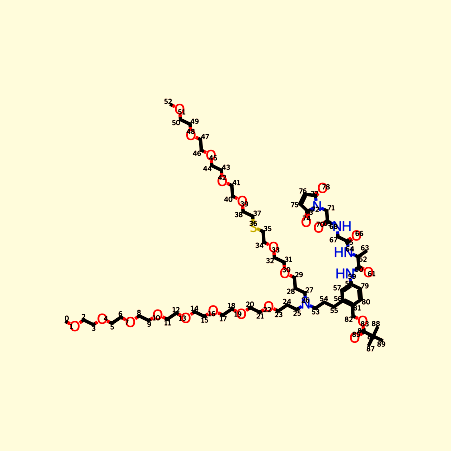 COCCOCCOCCOCCOCCOCCOCCOCCCN(CCCOCCOCCSCCOCCOCCOCCOCCOC)CCCc1cc(NC(=O)C(C)NC(=O)CNC(=O)CN2C(=O)C=CC2=O)ccc1COC(=O)C(C)(C)C